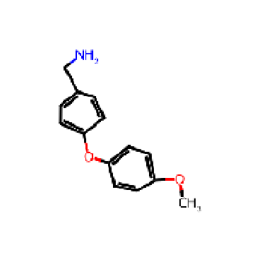 COc1ccc(Oc2ccc(CN)cc2)cc1